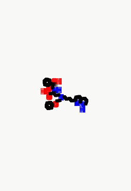 C[C@](O)(C(=O)N[C@@H](CCN(CCCCc1ccc2c(n1)NCCC2)CCOc1ccccc1)C(=O)O)c1ccccc1